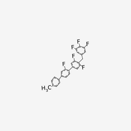 Cc1ccc(-c2ccc(-c3cc(F)c(Cc4cc(F)c(F)c(F)c4)c(F)c3)c(F)c2)cc1